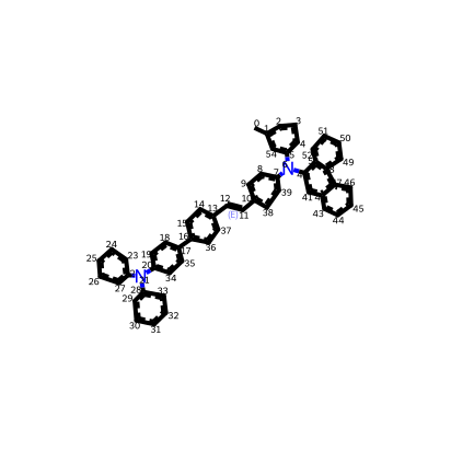 Cc1cccc(N(c2ccc(/C=C/c3ccc(-c4ccc(N(c5ccccc5)c5ccccc5)cc4)cc3)cc2)c2cc3ccccc3c3ccccc23)c1